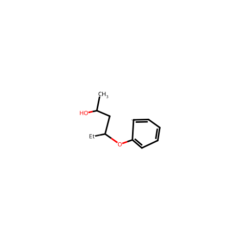 CCC(CC(C)O)Oc1[c]cccc1